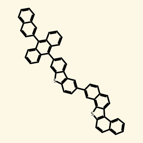 c1ccc2cc(-c3c4ccccc4c(-c4ccc5c(c4)sc4ccc(-c6ccc7ccc8c(sc9ccc%10ccccc%10c98)c7c6)cc45)c4ccccc34)ccc2c1